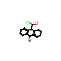 O=C(Cl)c1c2ccccc2c(Br)c2ccccc12